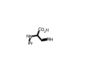 CC(C)NC(C=N)C(=O)O